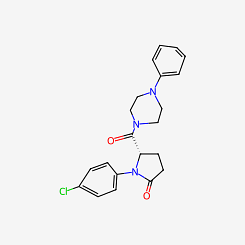 O=C([C@@H]1CCC(=O)N1c1ccc(Cl)cc1)N1CCN(c2ccccc2)CC1